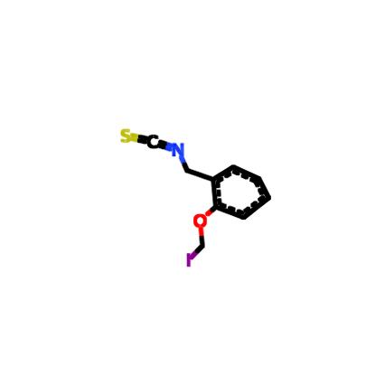 S=C=NCc1ccccc1OCI